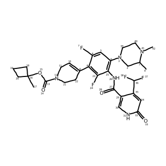 CC1CN(c2cc(F)c(C3=CCN(C(=O)OC4(C)CCC4)CC3)c(F)c2NC(=O)c2c[nH]c(=O)cc2C(F)F)CCN1C